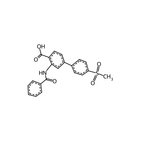 CS(=O)(=O)c1ccc(-c2ccc(C(=O)O)c(NC(=O)c3ccccc3)c2)cc1